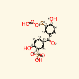 O=C(c1ccc(O)c(SOOO)c1)c1ccc(O)c(S(=O)(=O)O)c1